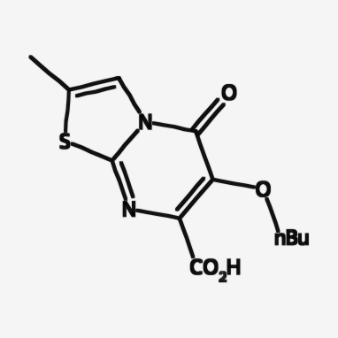 CCCCOc1c(C(=O)O)nc2sc(C)cn2c1=O